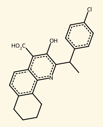 CC(c1ccc(Cl)cc1)c1nc2c3c(ccc2c(C(=O)O)c1O)CCCC3